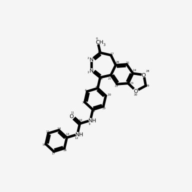 CC1=NN=C(c2ccc(NC(=O)Nc3ccccc3)cc2)c2cc3c(cc2C1)OCO3